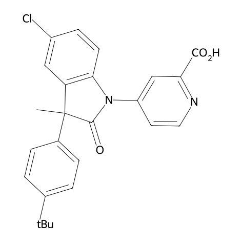 CC(C)(C)c1ccc(C2(C)C(=O)N(c3ccnc(C(=O)O)c3)c3ccc(Cl)cc32)cc1